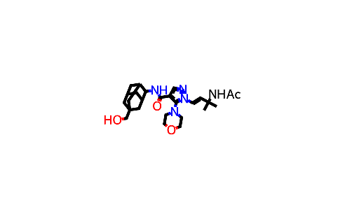 CC(=O)NC(C)(C)/C=C/n1ncc(C(=O)NC2C3CC4CC2CC(CO)(C4)C3)c1N1CCOCC1